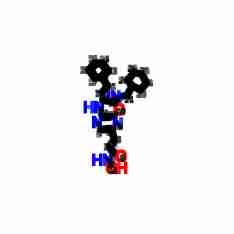 O=C(/C=C/c1cnc(N[C@H](CCc2ccccc2)C(=O)NCC2CCCCC2)cn1)NO